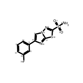 NS(=O)(=O)c1nn2cc(-c3cccc(F)c3)nc2s1